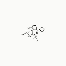 CCOC(=O)CN1C(=O)[C@H]([C@@H](C)CC)N=C(c2ccccc2)c2cccc(Cl)c21